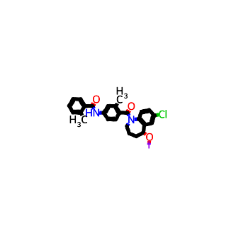 Cc1ccccc1C(=O)Nc1ccc(C(=O)N2CCCC(OI)c3cc(Cl)ccc32)c(C)c1